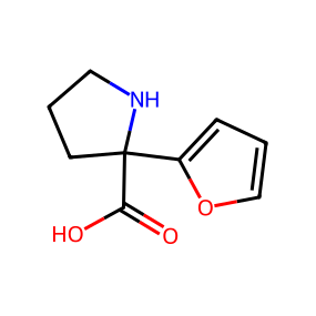 O=C(O)C1(c2ccco2)CCCN1